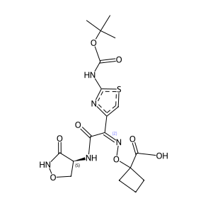 CC(C)(C)OC(=O)Nc1nc(/C(=N/OC2(C(=O)O)CCC2)C(=O)N[C@H]2CONC2=O)cs1